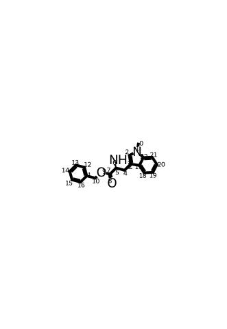 Cn1cc(C[C@H](N)C(=O)OCc2ccccc2)c2ccccc21